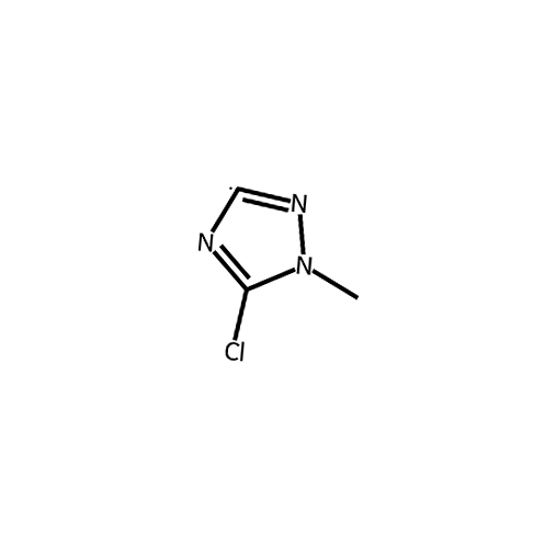 Cn1n[c]nc1Cl